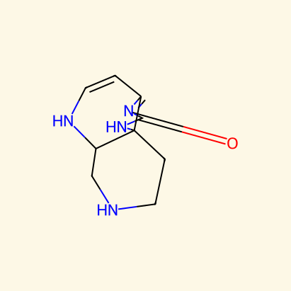 O=C1N=C2C=CNC3CNCCC23N1